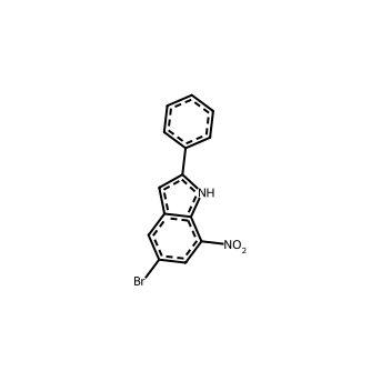 O=[N+]([O-])c1cc(Br)cc2cc(-c3ccccc3)[nH]c12